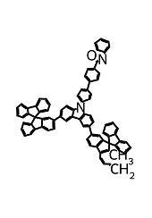 C=C/C=C\C1=C(C)C2(c3cc(-c4ccc5c(c4)c4cc(-c6ccc7c(c6)C6(c8ccccc8-c8ccccc86)c6ccccc6-7)ccc4n5-c4ccc(-c5ccc(-c6nc7ccccc7o6)cc5)cc4)ccc31)c1ccccc1-c1ccccc12